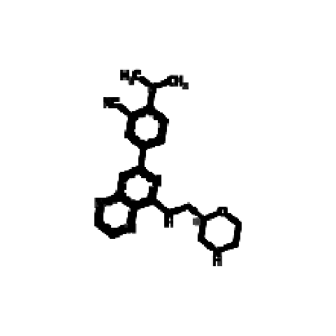 CN(C)c1ccc(-c2cc3nccnc3c(NC[C@@H]3CNCCO3)n2)cc1C#N